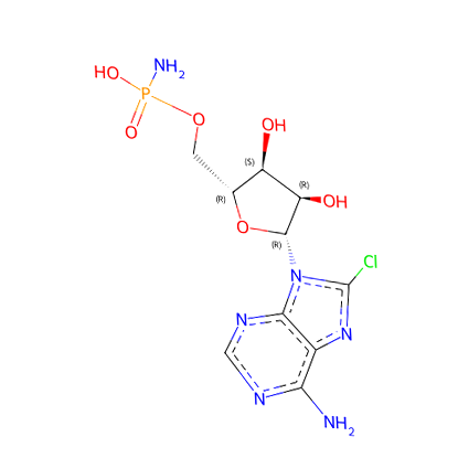 Nc1ncnc2c1nc(Cl)n2[C@@H]1O[C@H](COP(N)(=O)O)[C@@H](O)[C@H]1O